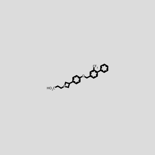 O=C(O)CCN1CC(c2ccc(OCc3ccc(-c4ccccc4)c(C(F)(F)F)c3)cc2)C1